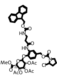 COC(=O)[C@H]1OC(Oc2ccc(COC(=O)N3CCCC3Cl)cc2NC(=O)CCNC(=O)OCC2c3ccccc3-c3ccccc32)[C@H](OC(C)=O)[C@@H](OC(C)=O)[C@@H]1OC(C)=O